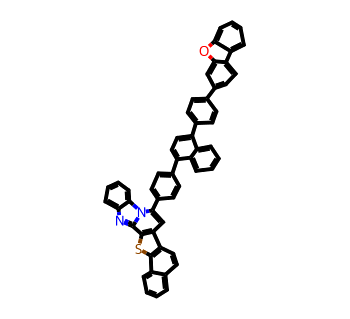 c1ccc2c(c1)ccc1c3cc(-c4ccc(-c5ccc(-c6ccc(-c7ccc8c(c7)oc7ccccc78)cc6)c6ccccc56)cc4)n4c5ccccc5nc4c3sc21